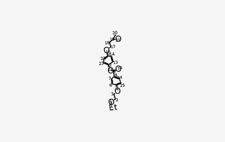 CCOCCOc1ccc(C(=O)Oc2ccc(OCCC3CO3)cc2)cc1